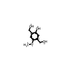 COc1cc(CO)c(O)cc1CO